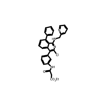 CCOC(=O)CC(=O)Nc1cccc(-c2c(Cl)nc(NCc3ccccn3)c3c(-c4ccccc4)cccc23)c1